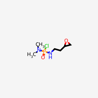 CN(C)P(=O)(Cl)NCCC1CO1